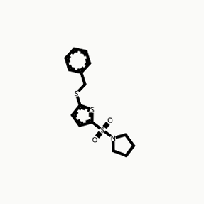 O=S(=O)(c1ccc(SCc2ccccc2)s1)N1CCCC1